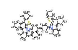 c1ccc2c(c1)sc1c2c2ccccc2c2c3ccccc3n(-c3ccc(-c4ccc(-n5c6ccccc6c6c7ccccc7c7c8ccccc8sc7c65)c5ccccc45)cc3)c12